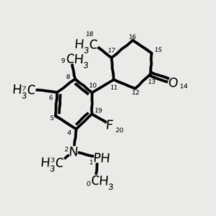 CPN(C)c1cc(C)c(C)c(C2CC(=O)CCC2C)c1F